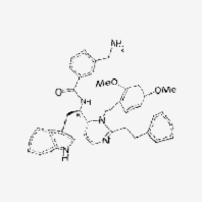 COC1=C(CN2C([C@@H](Cc3c[nH]c4ccccc34)NC(=O)c3cccc(CN)c3)=C=CN=C2CCc2ccccc2)C=CC(OC)C1